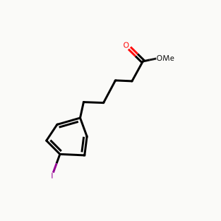 COC(=O)CCCCc1ccc(I)cc1